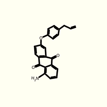 C=CCc1ccc(Oc2ccc3c(c2)C(=O)c2cccc(N)c2C3=O)cc1